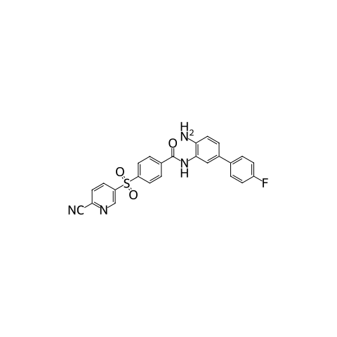 N#Cc1ccc(S(=O)(=O)c2ccc(C(=O)Nc3cc(-c4ccc(F)cc4)ccc3N)cc2)cn1